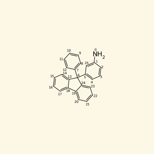 Nc1cccc(C2(c3ccccc3)c3ccccc3-c3ccccc32)c1